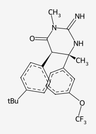 CN1C(=N)N[C@](C)(c2cccc(OC(F)(F)F)c2)[C@@H](c2ccc(C(C)(C)C)cc2)C1=O